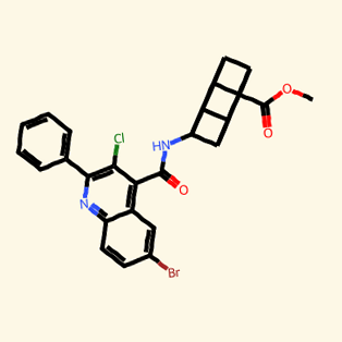 COC(=O)C12C3C4C1C1C2C3C41NC(=O)c1c(Cl)c(-c2ccccc2)nc2ccc(Br)cc12